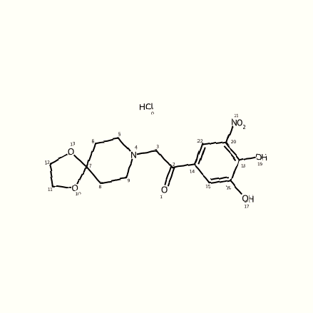 Cl.O=C(CN1CCC2(CC1)OCCO2)c1cc(O)c(O)c([N+](=O)[O-])c1